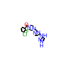 O=C(c1cccc(Cl)c1F)N1CCN(Cc2nccc(Nc3cc[nH]n3)n2)CC1